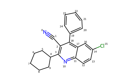 N#Cc1c(C2CCCCC2)nc2ccc(Cl)cc2c1-c1ccccc1